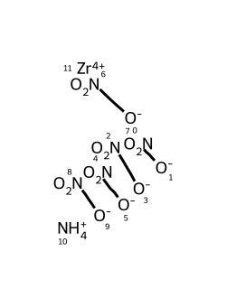 O=[N+]([O-])[O-].O=[N+]([O-])[O-].O=[N+]([O-])[O-].O=[N+]([O-])[O-].O=[N+]([O-])[O-].[NH4+].[Zr+4]